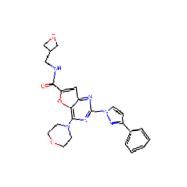 O=C(NCC1COC1)c1cc2nc(-n3ccc(-c4ccccc4)n3)nc(N3CCOCC3)c2o1